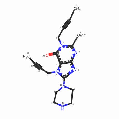 CC#CCn1c(OC)nc2nc(N3CCNCC3)n(CC#CC)c2c1=O